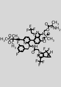 C[C@@H](N)C(=O)OCN(c1nn(CC(F)(F)F)c2c(-c3ccc(C#CC(C)(C)S(C)(=O)=O)nc3[C@H](Cc3cc(F)cc(F)c3)NC(=O)Cn3nc(C(F)(F)F)c4c3C(F)(F)[C@@H]3CC43)ccc(Cl)c12)S(C)(=O)=O